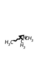 CCCCCC12CC1CN(C)C2C